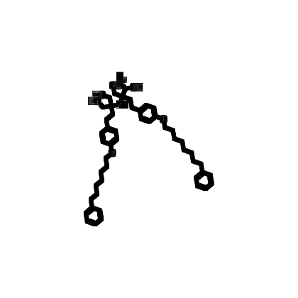 NC(O)C(CO)(CCc1ccc(OCCCCCCCCc2ccccc2)cc1)NC(CO)(CO)CCc1ccc(OCCCCCCCc2ccccc2)cc1